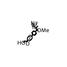 CO[C@H](c1ccc(N2CCN(C(=O)CO)CC2)cc1)C(CF)N=[N+]=[N-]